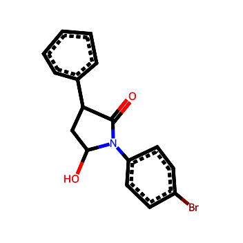 O=C1C(c2ccccc2)CC(O)N1c1ccc(Br)cc1